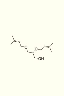 CC(C)=CCOCC(CO)OCC=C(C)C